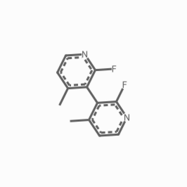 Cc1ccnc(F)c1-c1c(C)ccnc1F